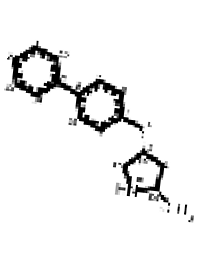 O=C(O)[C@@H]1C[C@@H](Cc2ccc(-c3ccccc3)cc2)CN1